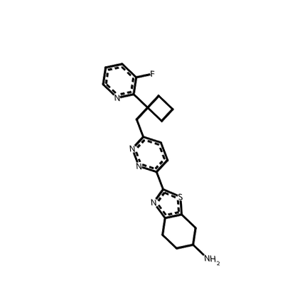 NC1CCc2nc(-c3ccc(CC4(c5ncccc5F)CCC4)nn3)sc2C1